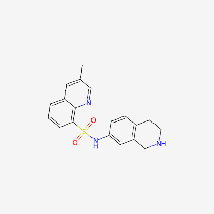 Cc1cnc2c(S(=O)(=O)Nc3ccc4c(c3)CNCC4)cccc2c1